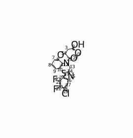 O=C(O)CC1Oc2ccccc2N(Cc2nc3cc(Cl)c(F)c(F)c3s2)C1=O